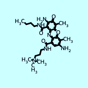 CCCCNC(=O)c1c2nc3c(C(=O)NCCC[N+](C)(C)C)cc(N)c(C)c3oc-2c(C)c(=O)c1N